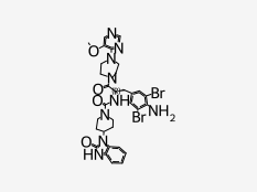 COc1cncnc1N1CCN(C(=O)[C@@H](Cc2cc(Br)c(N)c(Br)c2)NC(=O)N2CCC(n3c(=O)[nH]c4ccccc43)CC2)CC1